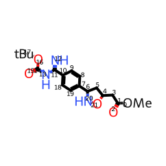 COC(=O)CC1CC(c2ccc(C(=N)NC(=O)OC(C)(C)C)cc2)NO1